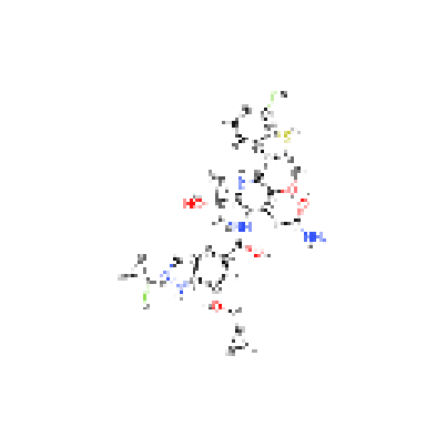 CCOc1c(CC(N)=O)cc([C@@](O)(CNC(=O)c2cc(OCC3CC3)c3nn(C4(F)CC4)cc3c2)C(F)(F)F)nc1-c1csc2c(F)cccc12